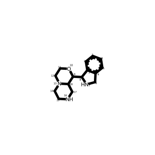 c1ccc2c(c1)CN[C]2C1OCCN2CCNCC12